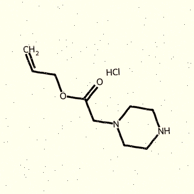 C=CCOC(=O)CN1CCNCC1.Cl